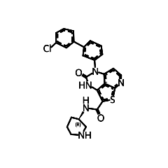 O=C(N[C@@H]1CCCNC1)c1sc2nccc3c2c1NC(=O)N3c1cccc(-c2cccc(Cl)c2)c1